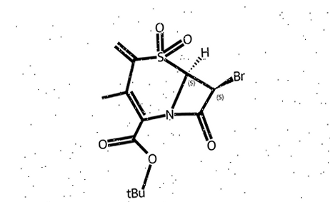 C=C1C(C)=C(C(=O)OC(C)(C)C)N2C(=O)[C@H](Br)[C@@H]2S1(=O)=O